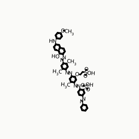 COc1ccc(Nc2ccc3c(O)c(N=Nc4cc(C)c(N=Nc5cc(C)c(N=Nc6ccc(N=Nc7ccccc7)cc6S(=O)(=O)O)cc5OCCS(=O)(=O)O)cc4C)ccc3c2)cc1